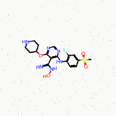 CS(=O)(=O)c1ccc(Nc2ncnc(OC3CCNCC3)c2C(=N)NO)c(F)c1